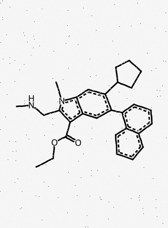 CCOC(=O)c1c(CNC)n(C)c2cc(C3CCCC3)c(-c3cccc4ccccc34)cc12